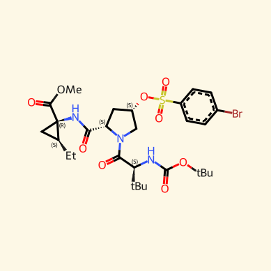 CC[C@H]1C[C@]1(NC(=O)[C@@H]1C[C@H](OS(=O)(=O)c2ccc(Br)cc2)CN1C(=O)[C@@H](NC(=O)OC(C)(C)C)C(C)(C)C)C(=O)OC